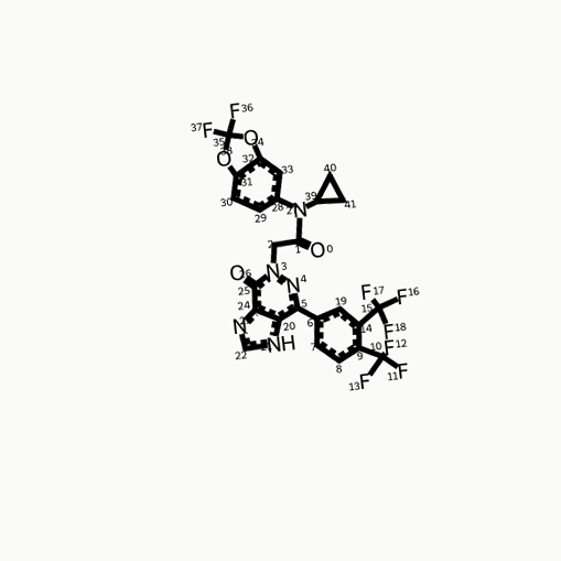 O=C(Cn1nc(-c2ccc(C(F)(F)F)c(C(F)(F)F)c2)c2[nH]cnc2c1=O)N(c1ccc2c(c1)OC(F)(F)O2)C1CC1